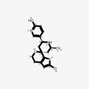 C[C@H]1C[C@@]2(C[C@@H](c3ccc(O)nc3)N1)OCCc1cc(Cl)sc12